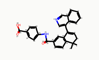 CC1(C)CC=C(c2cncc3ccccc23)c2cc(C(=O)Nc3ccc(C(=O)O)cc3)ccc21